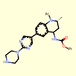 CC(=O)N1c2ccc(-c3cnc(N4CCNCC4)nc3)cc2C(NC(=O)OC(C)C)C[C@H]1C